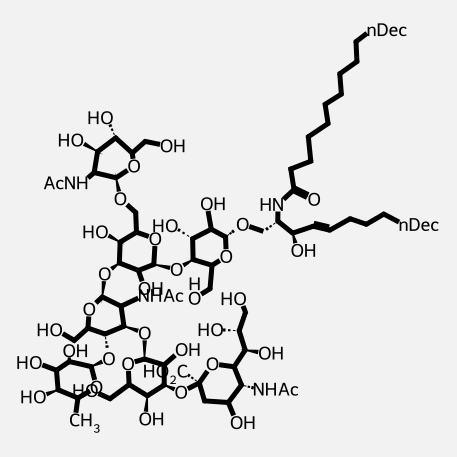 CCCCCCCCCCCCC/C=C/[C@@H](O)[C@H](CO[C@@H]1OC(CO)[C@@H](O[C@@H]2OC(CO[C@@H]3OC(CO)[C@@H](O)[C@H](O)C3NC(C)=O)[C@H](O)[C@H](O[C@@H]3OC(CO)[C@@H](O[C@H]4OC(C)[C@@H](O)C(O)[C@@H]4O)[C@H](O[C@@H]4OC(CO)[C@H](O)[C@H](O[C@]5(C(=O)O)CC(O)[C@@H](NC(C)=O)C([C@H](O)[C@H](O)CO)O5)C4O)C3NC(C)=O)C2O)[C@H](O)C1O)NC(=O)CCCCCCCCCCCCCCCCCCC